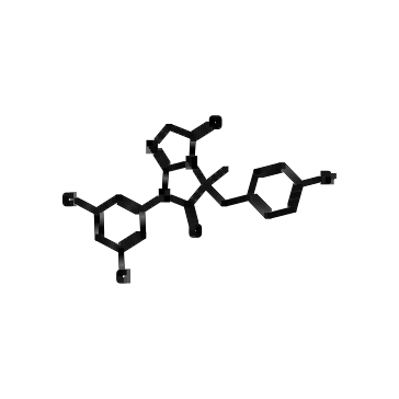 CC1(Cc2ccc(Br)cc2)C(=O)N(c2cc(Cl)cc(Cl)c2)C2=NCC(=O)N21